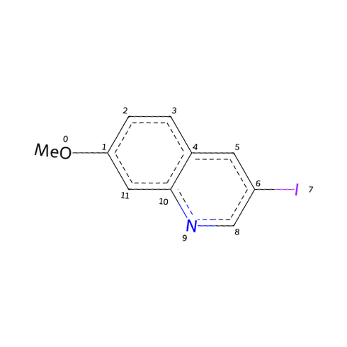 COc1ccc2cc(I)cnc2c1